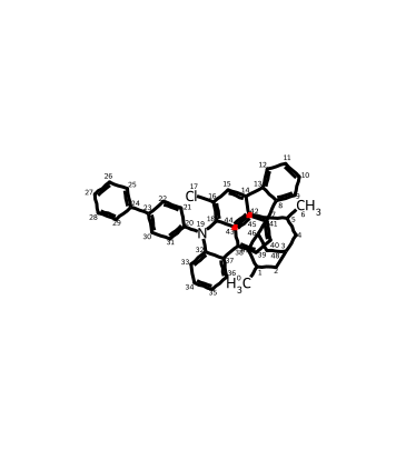 CC1CC2CC(C)C3(c4ccccc4-c4cc(Cl)c(N(c5ccc(-c6ccccc6)cc5)c5ccccc5-c5ccccc5)cc43)C(C1)C2